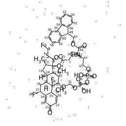 CCC(=O)O[C@]1(C(=O)SCF)[C@H](C)C[C@H]2[C@@H]3C[C@H](F)C4=CC(=O)C=C[C@]4(C)[C@@]3(F)[C@@H](OCOP(=O)(O)OP(=O)(O)OCCNC(=O)OCC3c4ccccc4-c4ccccc43)C[C@@]21C